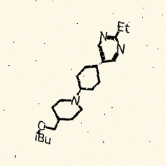 CCc1ncc([C@H]2CC[C@H](N3CCC(COC(C)CC)CC3)CC2)cn1